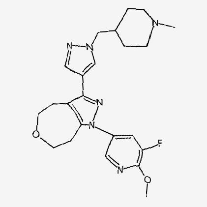 COc1ncc(-n2nc(-c3cnn(CC4CCN(C)CC4)c3)c3c2CCOCC3)cc1F